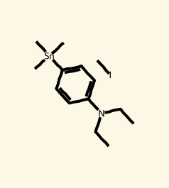 CCN(CC)c1cc[c]([Sn]([CH3])([CH3])[CH3])cc1.CI